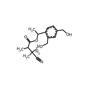 CC(OC(=O)C(C)C(C)(C)C#N)c1ccc(CO)cc1CO